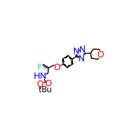 Cn1nc(-c2ccc(OC/C(=C/F)CNC(=O)OC(C)(C)C)cc2)nc1C1CCOCC1